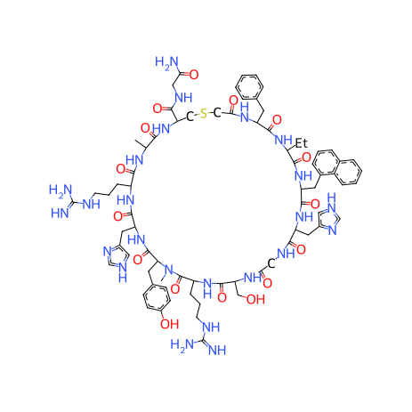 CCC1NC(=O)C(Cc2ccccc2)NC(=O)CSCC(C(=O)NCC(N)=O)NC(=O)C(C)NC(=O)C(CCCNC(=N)N)NC(=O)C(Cc2c[nH]cn2)NC(=O)C(Cc2ccc(O)cc2)N(C)C(=O)C(CCCNC(=N)N)NC(=O)C(CO)NC(=O)CNC(=O)C(Cc2c[nH]cn2)NC(=O)C(Cc2cccc3ccccc23)NC1=O